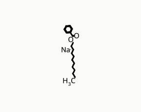 CCCCCCCCCCCCOC(=O)c1ccccc1.[Na]